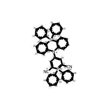 N#CC1=CC(N2c3ccccc3[Si](c3ccccc3)(c3ccccc3)c3ccccc32)=CC(C#N)=P1(c1ccccc1)c1ccccc1